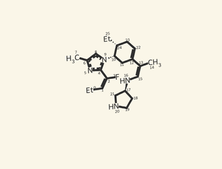 CC/C=C(/F)c1nc(C)cn1[C@H]1CC(/C(C)=C\N[C@H]2CCNC2)=CC[C@H]1CC